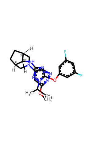 COc1cc(N2C[C@H]3CC[C@@H](C2)[C@@H]3Nc2nc(Oc3cc(F)cc(F)c3)n(C(C)C)n2)cnn1